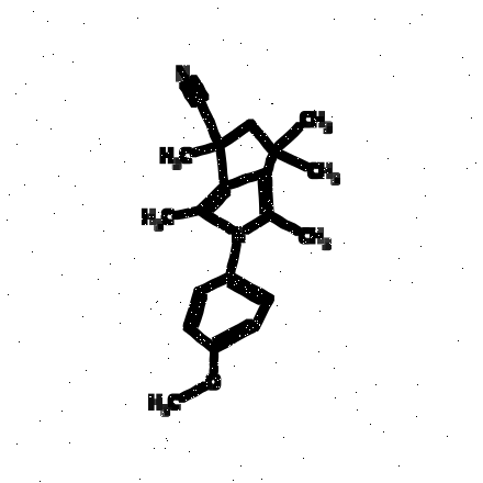 COc1ccc(-n2c(C)c3c(c2C)C(C)(C#N)CC3(C)C)cc1